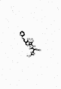 CCON=C(C(=O)NC1C(=O)N2C(C(=O)O)=C(C=CSc3ccccn3)CS[C@@H]12)c1nsc(N)n1